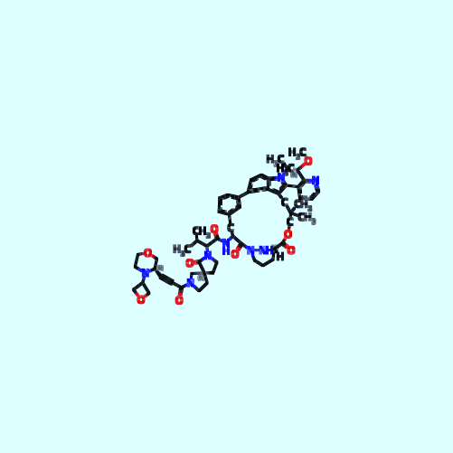 CCn1c(-c2cccnc2[C@H](C)OC)c2c3cc(ccc31)-c1cccc(c1)CC(NC(=O)C(C(C)C)N1CC[C@]3(CCN(C(=O)C#C[C@@H]4COCCN4C4COC4)C3)C1=O)C(=O)N1CCC[C@H](N1)C(=O)OCC(C)(C)C2